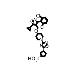 O=C(O)[C@@H]1CC[C@@H](c2nc(N3CCC(OCc4c(-c5c(Cl)cccc5Cl)noc4C4CC4)CC3)no2)C1